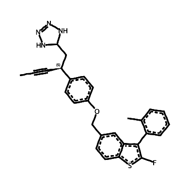 CC#C[C@@H](CC1NN=NN1)c1ccc(OCc2ccc3sc(F)c(-c4ccccc4C)c3c2)cc1